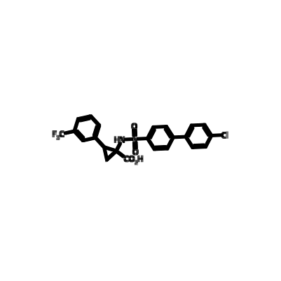 O=C(O)C1(NS(=O)(=O)c2ccc(-c3ccc(Cl)cc3)cc2)CC1c1cccc(C(F)(F)F)c1